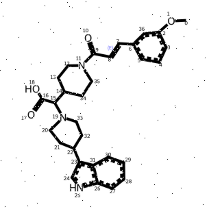 COc1cccc(/C=C/C(=O)N2CCC(C(C(=O)O)N3CCC(c4c[nH]c5ccccc45)CC3)CC2)c1